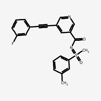 Cc1cccc(S(C)(=O)=NC(=O)c2cncc(C#Cc3cccc(F)c3)c2)c1